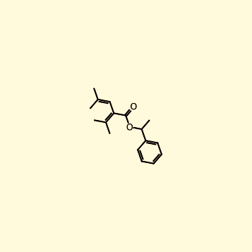 CC(C)=CC(C(=O)OC(C)c1ccccc1)=C(C)C